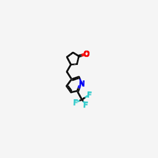 O=C1CCC(Cc2ccc(C(F)(F)F)nc2)C1